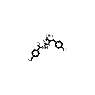 CC(C)(C)c1nc(NC(=O)c2ccc(Cl)cc2)sc1Cc1ccc(Cl)cc1